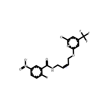 O=C(NC/C=C\COc1cc(C(F)(F)F)cc(Cl)n1)c1cc([N+](=O)[O-])ccc1F